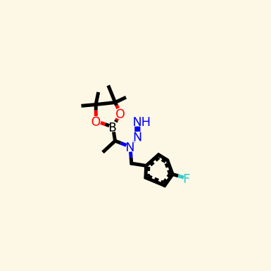 CC(B1OC(C)(C)C(C)(C)O1)N(Cc1ccc(F)cc1)N=N